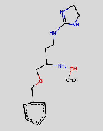 NC(CCNC1=NCCN1)COCc1ccccc1.O=CO